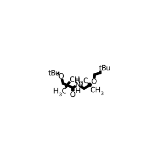 CC(C)(C)CCOC(C)(C)CNC(=O)C(C)(C)COC(C)(C)C